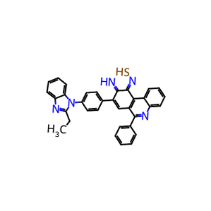 CCc1nc2ccccc2n1-c1ccc(C2=Cc3c(-c4ccccc4)nc4ccccc4c3/C(=N/S)C2=N)cc1